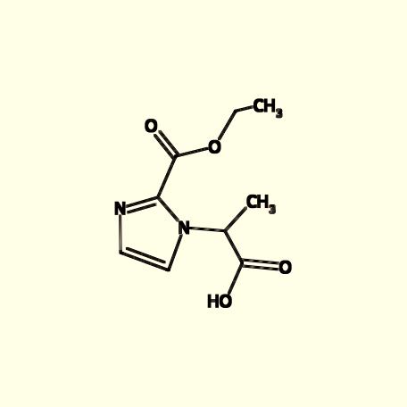 CCOC(=O)c1nccn1C(C)C(=O)O